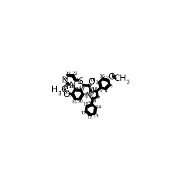 COc1ccc(C2CC(c3ccccc3)=NN2C(=O)CSC2=C=CN=CN2c2ccccc2OC)cc1